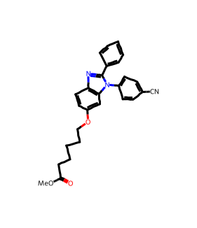 COC(=O)CCCCCOc1ccc2nc(-c3ccccc3)n(-c3ccc(C#N)cc3)c2c1